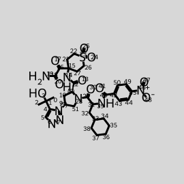 CC(C)(O)c1cnnn1[C@H]1C[C@@H](C(=O)NC2(C(=O)C(N)=O)CCS(=O)(=O)CC2)N(C(=O)C(CC2CCCCC2)NC(=O)c2ccc([N+](=O)[O-])cc2)C1